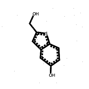 OCc1cc2cc(O)ccc2s1